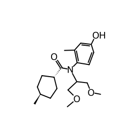 COCC(COC)N(c1ccc(O)cc1C)C(=O)[C@H]1CC[C@H](C)CC1